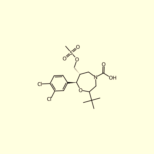 CC(C)(C)C1CN(C(=O)O)C[C@@H](COS(C)(=O)=O)[C@H](c2ccc(Cl)c(Cl)c2)O1